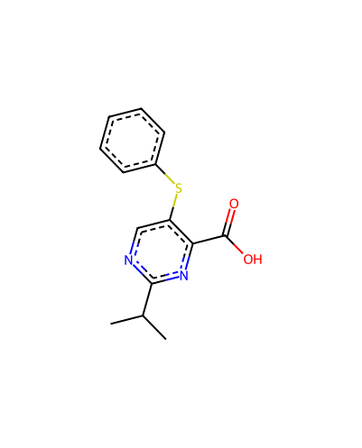 CC(C)c1ncc(Sc2ccccc2)c(C(=O)O)n1